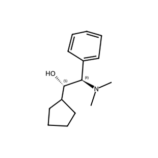 CN(C)[C@H](c1ccccc1)[C@@H](O)C1CCCC1